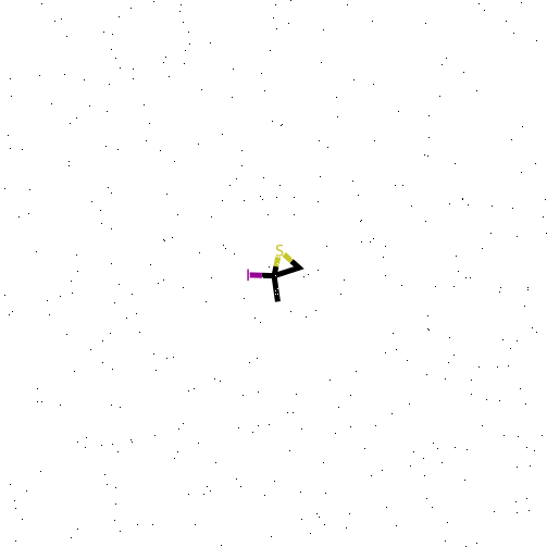 CC1(I)CS1